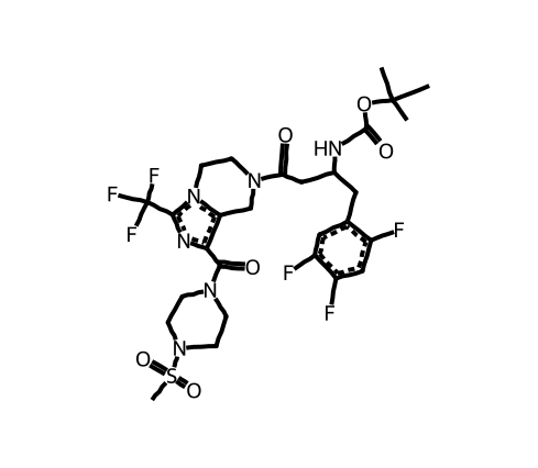 CC(C)(C)OC(=O)NC(CC(=O)N1CCn2c(C(F)(F)F)nc(C(=O)N3CCN(S(C)(=O)=O)CC3)c2C1)Cc1cc(F)c(F)cc1F